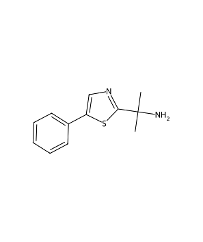 CC(C)(N)c1ncc(-c2ccccc2)s1